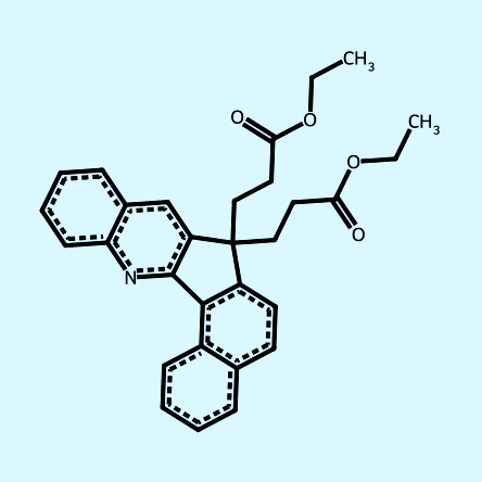 CCOC(=O)CCC1(CCC(=O)OCC)c2cc3ccccc3nc2-c2c1ccc1ccccc21